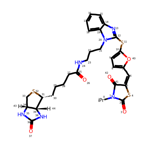 CC(C)N1C(=O)SC(=Cc2ccc(Sc3nc4ccccc4n3CCCNC(=O)CCCC[C@H]3SC[C@H]4NC(=O)N[C@H]43)o2)C1=O